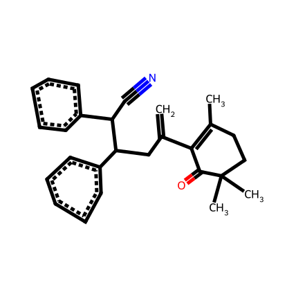 C=C(CC(c1ccccc1)C(C#N)c1ccccc1)C1=C(C)CCC(C)(C)C1=O